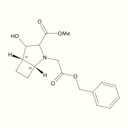 COC(=O)C1C(O)[C@H]2CC[C@H]2N1CC(=O)OCc1ccccc1